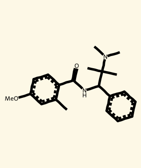 COc1ccc(C(=O)NC(c2ccccc2)C(C)(C)N(C)C)c(C)c1